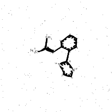 CC(C)=Cc1ccccc1-c1nccs1